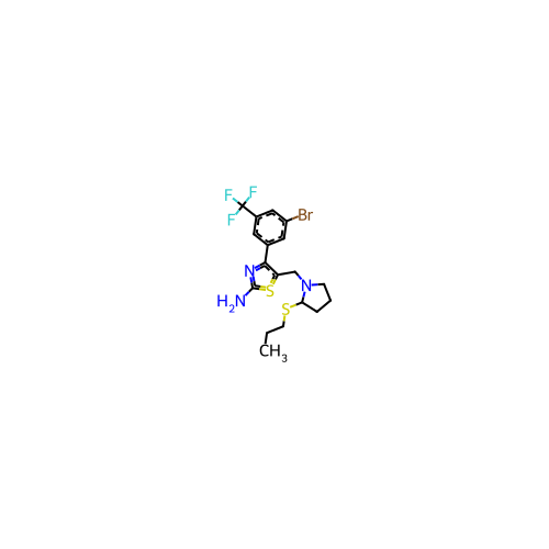 CCCSC1CCCN1Cc1sc(N)nc1-c1cc(Br)cc(C(F)(F)F)c1